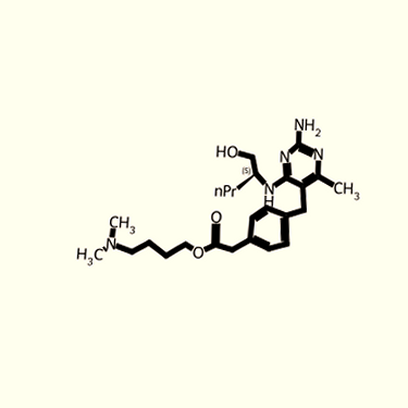 CCC[C@@H](CO)Nc1nc(N)nc(C)c1Cc1ccc(CC(=O)OCCCCN(C)C)cc1